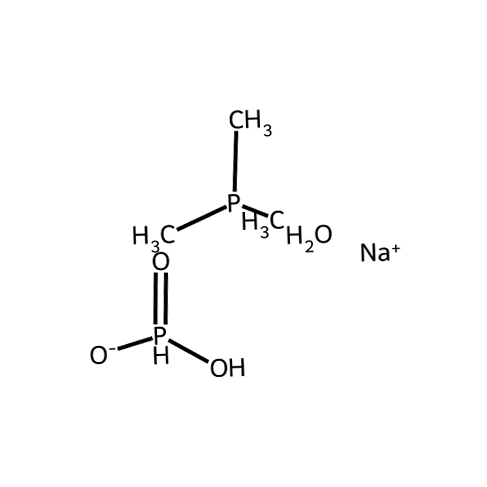 CP(C)C.O.O=[PH]([O-])O.[Na+]